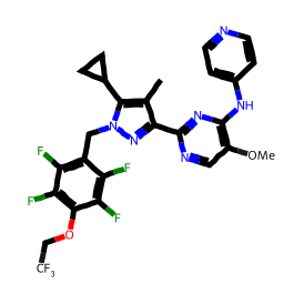 COc1cnc(-c2nn(Cc3c(F)c(F)c(OCC(F)(F)F)c(F)c3F)c(C3CC3)c2C)nc1Nc1ccncc1